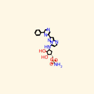 NS(=O)(=O)OC[C@H]1CC(Nc2ccnc3cc(-c4cncc(-c5ccccc5)n4)nn23)C(O)[C@@H]1O